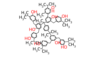 Cc1cc(C(C)C)c(O)cc1-c1cc(C(C)(c2ccc(C(C)(C)c3cc(Cc4ccc(O)c(C(C)C)c4)c(O)c(Cc4ccc(O)c(C(C)C)c4)c3)cc2)c2cc(Cc3ccc(O)c(C(C)C)c3)c(O)c(Cc3ccc(O)c(C(C)C)c3)c2)cc(Cc2ccc(O)c(C(C)C)c2)c1O